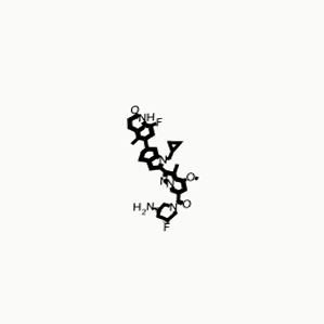 COc1cc(C(=O)N2C[C@H](N)C[C@@H](F)C2)cn2nc(-c3cc4ccc(-c5cc(F)c6[nH]c(=O)ccc6c5C)cc4n3CC3CC3)c(C)c12